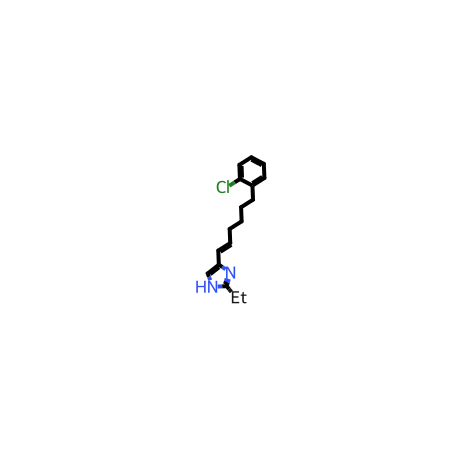 CCc1nc(C=CCCCCc2ccccc2Cl)c[nH]1